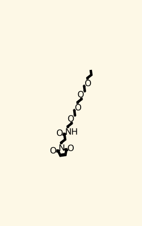 CCCOCCOCCOCCOCCNC(=O)CCN1C(=O)C=CC1=O